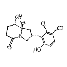 O=C1CCC(O)[C@@H]2C[C@H](c3c(O)ccc(Cl)c3Cl)CN12